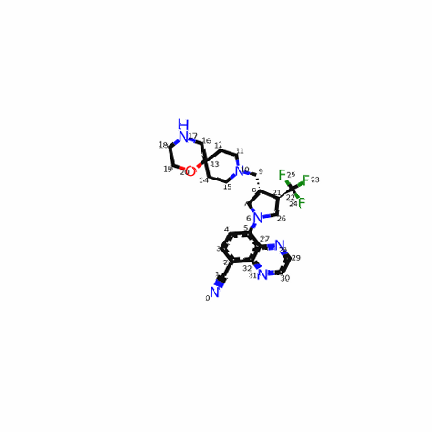 N#Cc1ccc(N2C[C@H](CN3CCC4(CC3)CNCCO4)[C@@H](C(F)(F)F)C2)c2nccnc12